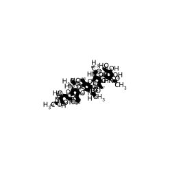 CC(=O)N[C@H]1C(O)[C@H](O)C(CO)O[C@H]1O[C@@H]1C(CO)O[C@@H](O[C@@H]2C(CO)O[C@@H](O[C@@H]3C(CO)O[C@@H](O[C@@H]4C(CO)O[C@@H]5OC(C)=N[C@H]5C4O)[C@@H](NC(C)=O)C3O)[C@@H](NC(C)=O)C2O)[C@@H](NC(C)=O)C1O